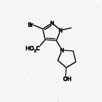 Cn1nc(Br)c(C(=O)O)c1N1CCC(O)C1